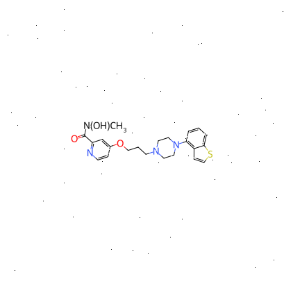 CN(O)C(=O)c1cc(OCCCN2CCN(c3cccc4sccc34)CC2)ccn1